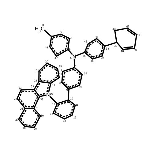 Cc1ccc(N(c2ccc(-c3ccccc3-n3c4ccccc4c4ccc5ccccc5c43)cc2)c2ccc(C3C=CC=CC3)cc2)cc1